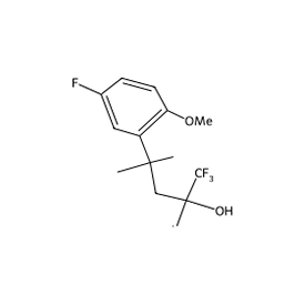 [CH2]C(O)(CC(C)(C)c1cc(F)ccc1OC)C(F)(F)F